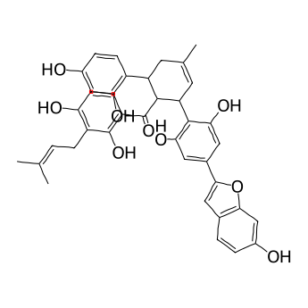 CC(C)=CCc1c(O)ccc(C(=O)C2C(c3c(O)cc(-c4cc5ccc(O)cc5o4)cc3O)C=C(C)CC2c2ccc(O)cc2O)c1O